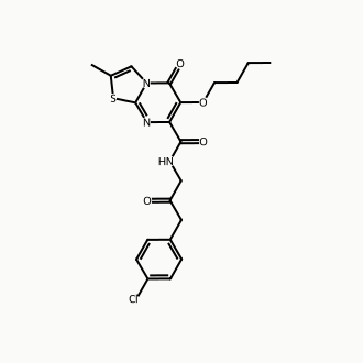 CCCCOc1c(C(=O)NCC(=O)Cc2ccc(Cl)cc2)nc2sc(C)cn2c1=O